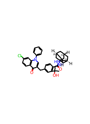 CC(C)(O)CN[C@]12C[C@@H]3C[C@H](C1)[C@@H](NC(=O)c1ccc(Cc4cn(-c5ccccc5)c5cc(Cl)ccc5c4=O)cc1)[C@@H](C3)C2